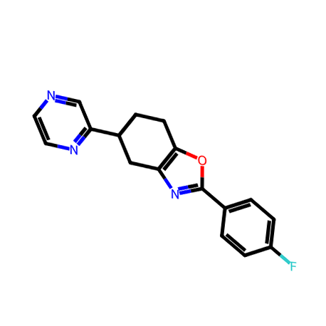 Fc1ccc(-c2nc3c(o2)CCC(c2cnccn2)C3)cc1